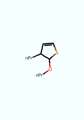 CCCOC1SC=CC1CCC